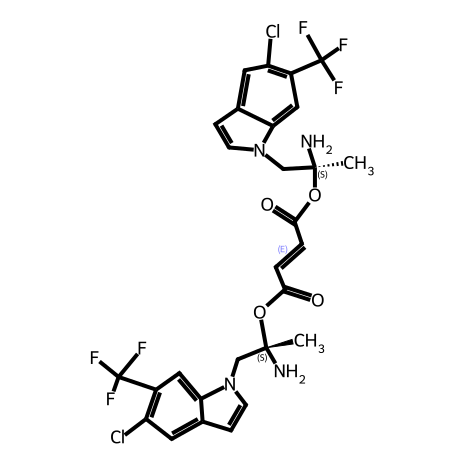 C[C@@](N)(Cn1ccc2cc(Cl)c(C(F)(F)F)cc21)OC(=O)/C=C/C(=O)O[C@](C)(N)Cn1ccc2cc(Cl)c(C(F)(F)F)cc21